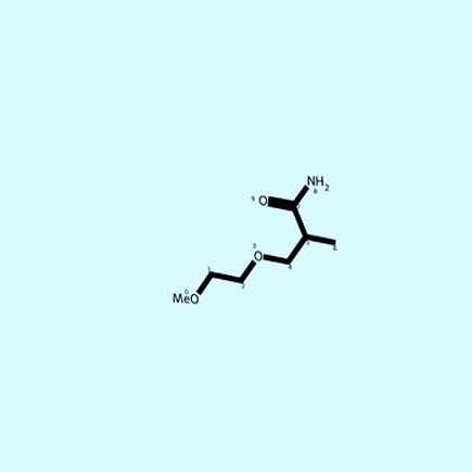 COCCOC[C](C)C(N)=O